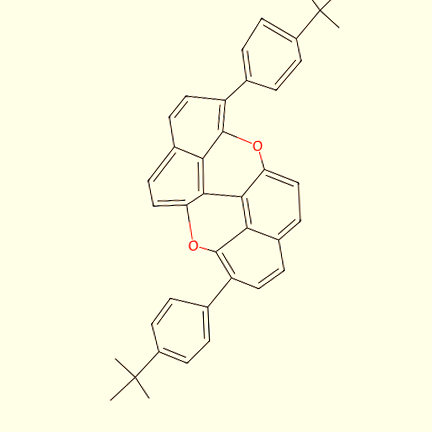 CC(C)(C)c1ccc(-c2ccc3ccc4oc5c(-c6ccc(C(C)(C)C)cc6)ccc6ccc7oc2c3c4-c7c65)cc1